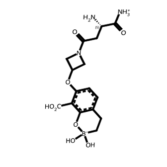 N[C@@H](CC(=O)N1CC(Oc2ccc3c(c2C(=O)O)O[B-](O)(O)CC3)C1)C([NH3+])=O